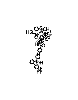 C[C@@H](Sc1ccccc1)[C@@H](CCN(C)CCO)Nc1ccc(S(=O)(=O)NC(=O)c2ccc(N3CCC([C@@H](O)c4ccccc4-c4ccc(C(F)(F)F)cc4)CC3)cc2)cc1S(=O)(=O)C(F)(F)F